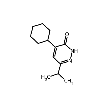 CC(C)c1cc(C2CCCCC2)c(=O)[nH]n1